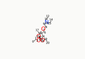 CCO[Si](CCCOCCN(CC)CC)(OCC)OCC